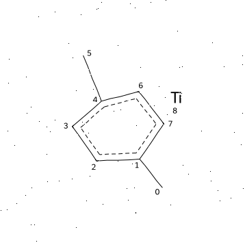 Cc1ccc(C)cc1.[Ti]